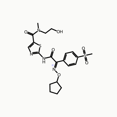 CN(CCO)C(=O)c1cnc(NC(=O)/C(=N/OC2CCCC2)c2ccc(S(C)(=O)=O)cc2)s1